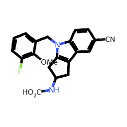 COc1c(F)cccc1Cn1c2c(c3cc(C#N)ccc31)CC(NC(=O)O)C2